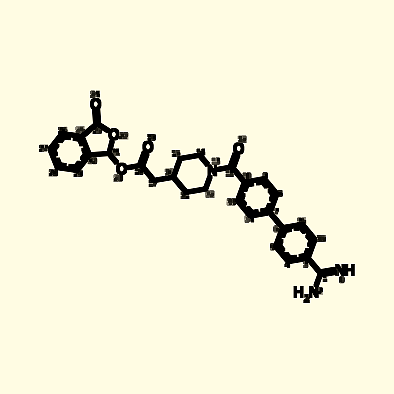 N=C(N)c1ccc(-c2ccc(C(=O)N3CCC(CC(=O)OC4OC(=O)c5ccccc54)CC3)cc2)cc1